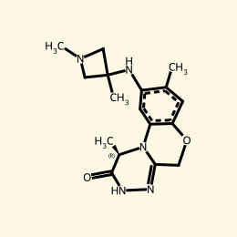 Cc1cc2c(cc1NC1(C)CN(C)C1)N1C(=NNC(=O)[C@H]1C)CO2